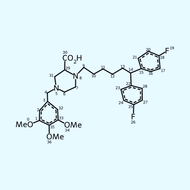 COc1cc(CN2CCN(CCCCCC(c3ccc(F)cc3)c3ccc(F)cc3)C(C(=O)O)C2)cc(OC)c1OC